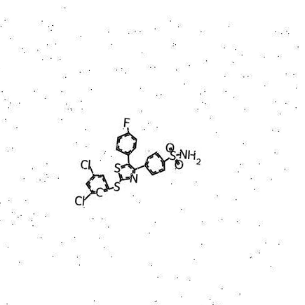 NS(=O)(=O)c1ccc(-c2nc(Sc3cc(Cl)cc(Cl)c3)sc2-c2ccc(F)cc2)cc1